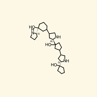 OC1([C@@H]2CC(C3CCC(O)([C@H]4CC(C5CCCC(O)([C@@H]6CCCN6)C5)CN4)C3)CN2)CCCC1